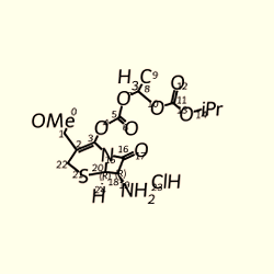 COCC1=C(OC(=O)OC(C)OC(=O)OC(C)C)N2C(=O)[C@@H](N)[C@H]2SC1.Cl